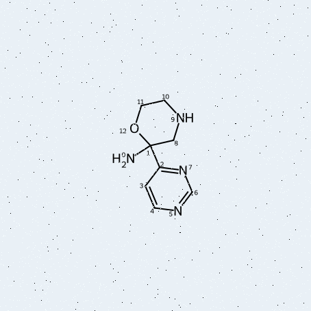 NC1(c2ccn[c]n2)CNCCO1